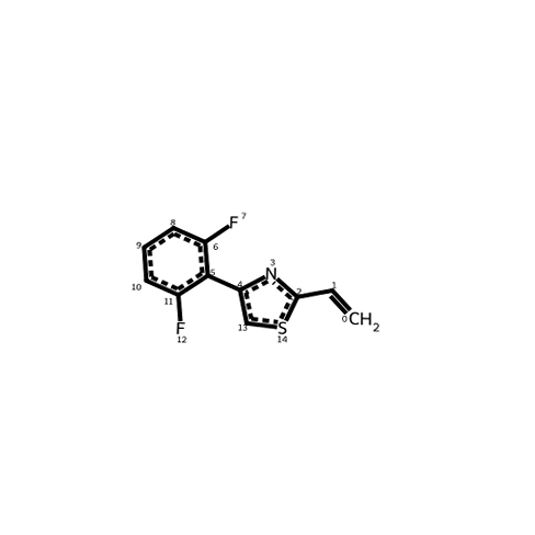 C=Cc1nc(-c2c(F)cccc2F)cs1